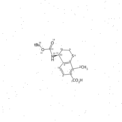 Cc1c(C(=O)O)ccc2c1SCC[C@@H]2NC(=O)OC(C)(C)C